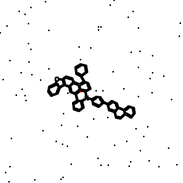 c1ccc(-c2ccc(N(c3ccc(-c4ccc5c(ccc6ccccc65)c4)cc3)c3ccccc3-c3ccc4ccc5oc6ccccc6c5c4c3)cc2)cc1